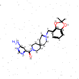 CC1(C)Oc2cccc(CN3CCC4(CC3)CCN(C(=O)c3cc(N)ncn3)CC4)c2O1